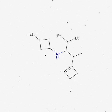 CCC1CC(NC(C(CC)CC)C(C)C2=CCC2)C1